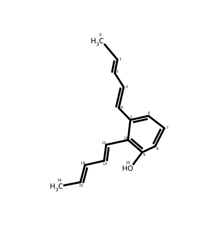 CC=CC=Cc1cccc(O)c1C=CC=CC